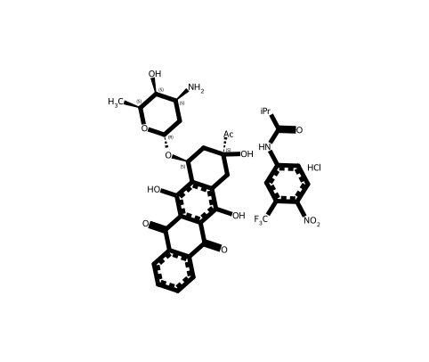 CC(=O)[C@]1(O)Cc2c(O)c3c(c(O)c2[C@@H](O[C@H]2C[C@H](N)[C@H](O)[C@H](C)O2)C1)C(=O)c1ccccc1C3=O.CC(C)C(=O)Nc1ccc([N+](=O)[O-])c(C(F)(F)F)c1.Cl